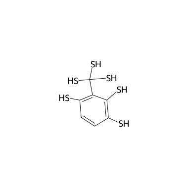 Sc1ccc(S)c(C(S)(S)S)c1S